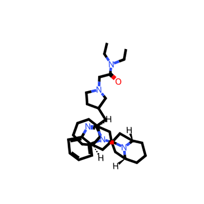 CCN(CC)C(=O)CN1CCC(Cc2nc3ccccc3n2C2C[C@H]3CCC[C@@H](C2)N3C2C[C@H]3CCCC[C@@H](C2)C3)C1